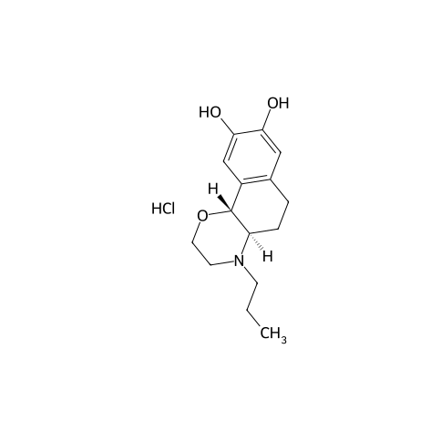 CCCN1CCO[C@@H]2c3cc(O)c(O)cc3CC[C@H]21.Cl